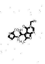 Cc1oc2ncn(CC(C)C)c(=O)c2c1C(=O)Nc1ccsc1C(=O)O